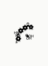 O=C(O)O.O=C(c1ccc(-c2ccc(Nc3nc4cc(F)ccc4s3)cc2)cc1)C1CCCC1